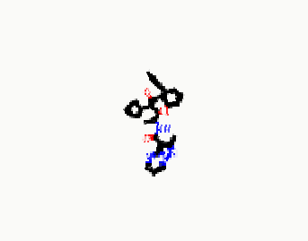 CC#Cc1cccc2oc(C(C)NC(=O)c3c(C)nn4cccnc34)c(-c3ccccc3)c(=O)c12